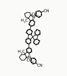 CC12CCCCC1(C)N(c1ccc(C#N)cc1)c1ccc(-c3ccc4c(c3)C3(c5ccccc5-c5ccccc53)c3cc(-c5ccc6c(c5)C5(C)CCCCC5(C)N6c5ccc(C#N)cc5)ccc3-4)cc12